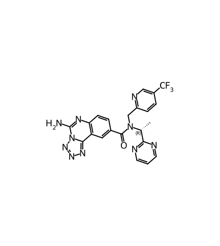 C[C@H](c1ncccn1)N(Cc1ccc(C(F)(F)F)cn1)C(=O)c1ccc2nc(N)n3nnnc3c2c1